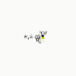 [GaH3].[InH3].[S]=[Cd]